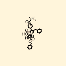 NCC(=O)N1CCC(c2c(Cc3ccccc3)cn(S(=O)(=O)NC(=O)OCc3ccccc3)c2C(=O)O)CC1